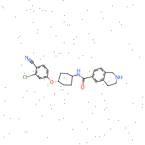 N#Cc1ccc(O[C@H]2CC[C@H](NC(=O)c3ccc4c(c3)CCNC4)CC2)cc1Cl